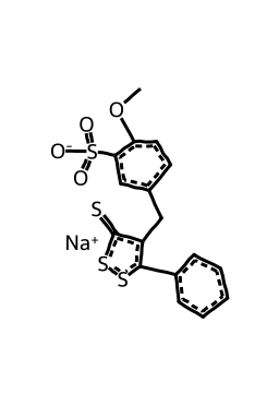 COc1ccc(Cc2c(-c3ccccc3)ssc2=S)cc1S(=O)(=O)[O-].[Na+]